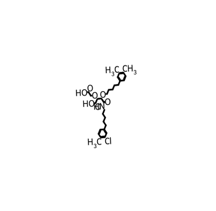 Cc1ccc(CCCCCOC(C(=O)NCCCCCc2ccc(C)c(Cl)c2)C(OCC(=O)O)C(=O)O)cc1C